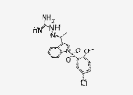 COc1ccc(Cl)cc1S(=O)(=O)n1cc(C(C)=NNC(=N)N)c2ccccc21